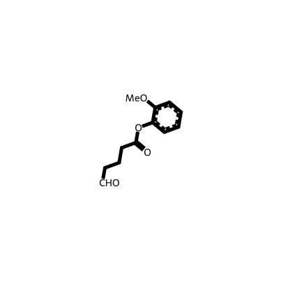 COc1ccccc1OC(=O)CCCC=O